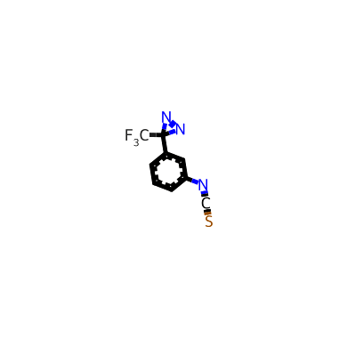 FC(F)(F)C1(c2cccc(N=C=S)c2)N=N1